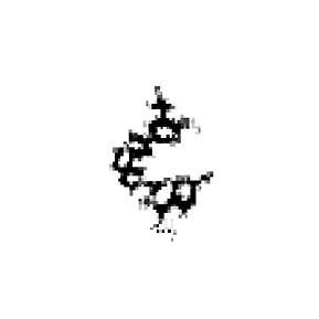 CC(NC(=O)N1CCC2(CCn3nc(-c4cnc(N)c(C(F)(F)F)c4)cc32)C1)c1ccc(C#N)nc1